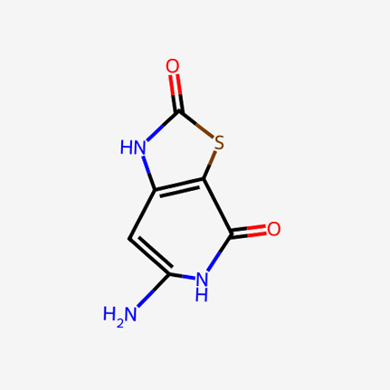 Nc1cc2[nH]c(=O)sc2c(=O)[nH]1